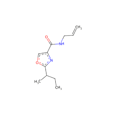 C=CCNC(=O)c1coc(C(C)CC)n1